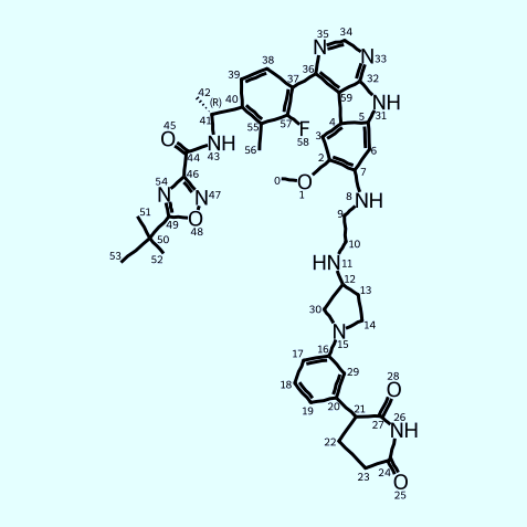 COc1cc2c(cc1NCCNC1CCN(c3cccc(C4CCC(=O)NC4=O)c3)C1)[nH]c1ncnc(-c3ccc([C@@H](C)NC(=O)c4noc(C(C)(C)C)n4)c(C)c3F)c12